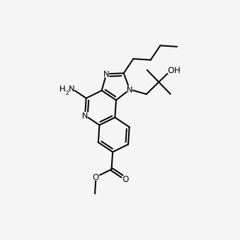 CCCCc1nc2c(N)nc3cc(C(=O)OC)ccc3c2n1CC(C)(C)O